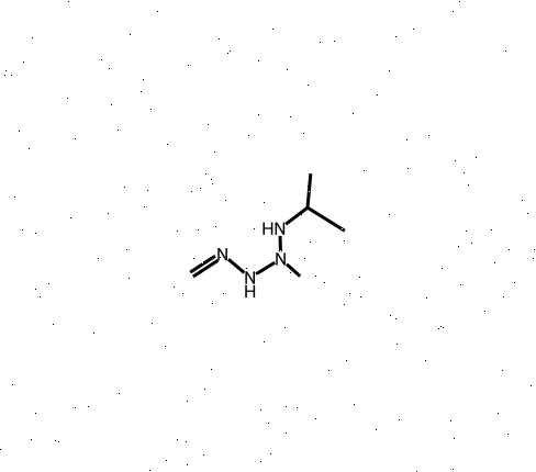 C=NNN(C)NC(C)C